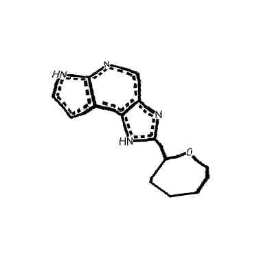 c1cc2c(ncc3nc(C4CCCCO4)[nH]c32)[nH]1